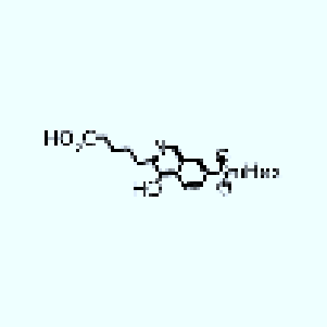 CCCCCCS(=O)(=O)c1ccc2c(O)c(CCCCC(=O)O)ncc2c1